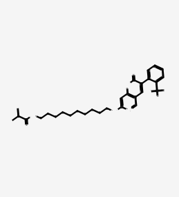 CC(C)C(=O)OCCCCCCCCCCOc1cc2oc(=O)c(-c3ccccc3C(F)(F)F)cc2cn1